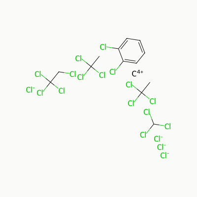 CC(Cl)(Cl)Cl.CC(Cl)(Cl)Cl.ClC(Cl)Cl.ClCC(Cl)(Cl)Cl.Clc1ccccc1Cl.[C+4].[Cl-].[Cl-].[Cl-].[Cl-]